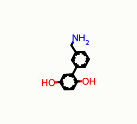 NCc1cccc(-c2cc(O)ccc2O)c1